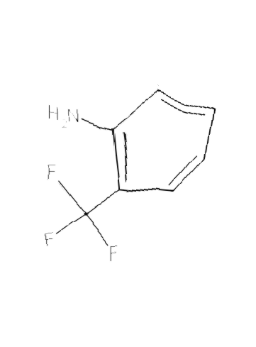 Nc1[c]cccc1C(F)(F)F